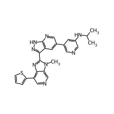 CC(C)Nc1cncc(-c2cnc3[nH]nc(-c4nc5c(-c6cccs6)cncc5n4C)c3c2)c1